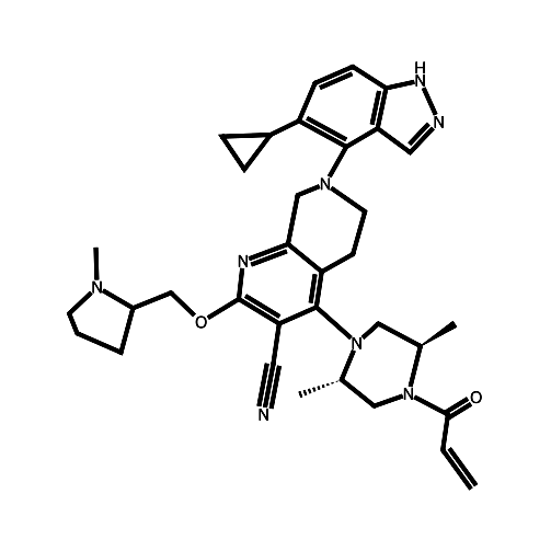 C=CC(=O)N1C[C@H](C)N(c2c(C#N)c(OCC3CCCN3C)nc3c2CCN(c2c(C4CC4)ccc4[nH]ncc24)C3)C[C@H]1C